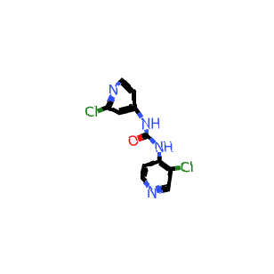 O=C(Nc1ccnc(Cl)c1)Nc1ccncc1Cl